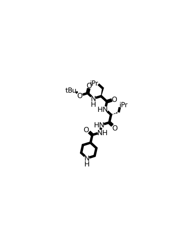 CC(C)C[C@H](NC(=O)OC(C)(C)C)C(=O)N[C@H](CC(C)C)C(=O)NNC(=O)C1CCNCC1